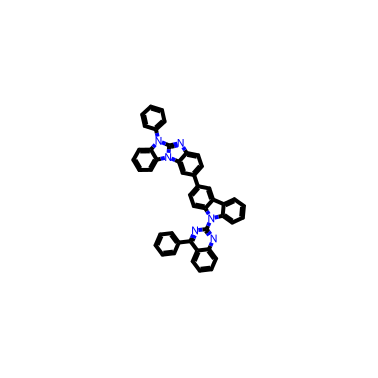 c1ccc(-c2nc(-n3c4ccccc4c4cc(-c5ccc6nc7n(-c8ccccc8)c8ccccc8n7c6c5)ccc43)nc3ccccc23)cc1